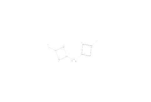 CC1CC([N]C2CC(C)C2)C1